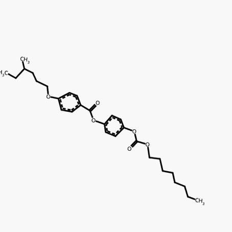 CCCCCCCCOC(=O)Oc1ccc(OC(=O)c2ccc(OCCCC(C)CC)cc2)cc1